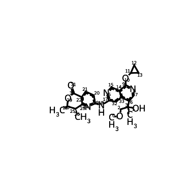 COCC(C)(O)c1cnc(OC2CC2)c2cnc(Nc3ccc4c(n3)[C@@H](C)[C@H](C)OC4=O)cc12